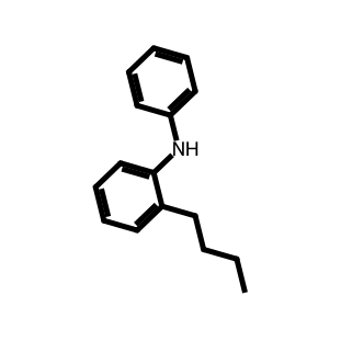 CCCCc1ccccc1Nc1ccccc1